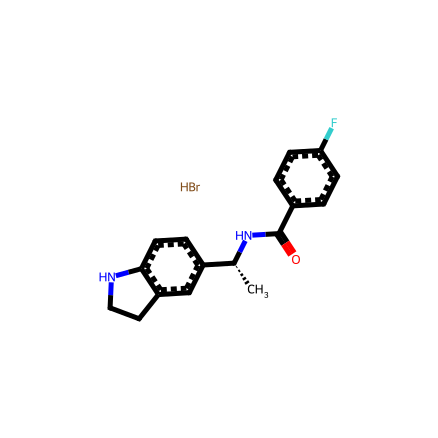 Br.C[C@@H](NC(=O)c1ccc(F)cc1)c1ccc2c(c1)CCN2